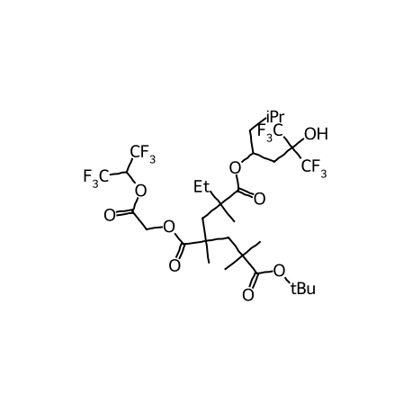 CCC(C)(CC(C)(CC(C)(C)C(=O)OC(C)(C)C)C(=O)OCC(=O)OC(C(F)(F)F)C(F)(F)F)C(=O)OC(CC(C)C)CC(O)(C(F)(F)F)C(F)(F)F